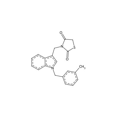 Cc1cccc(Cn2cc(CN3C(=O)CSC3=O)c3ccccc32)c1